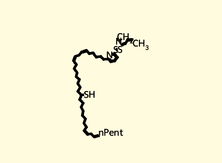 C=N/C(=C\C=C/C)SSc1cccc(CCCCC/C=C\C/C=C\CCCCCCCCC(S)CCCCCCCC/C=C\C/C=C\CCCCC)n1